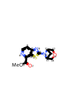 COC(=O)c1nccc2nc(N3C4COCC3C4)sc12